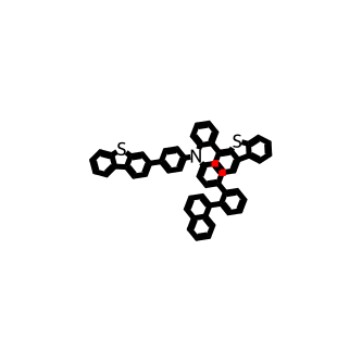 c1ccc(-c2cccc3ccccc23)c(-c2ccc(N(c3ccc(-c4ccc5c(c4)sc4ccccc45)cc3)c3ccccc3-c3cccc4c3sc3ccccc34)cc2)c1